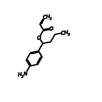 C=CC(=O)OC(CCC)c1ccc(N)cc1